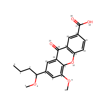 CCCC(OC)c1cc(OC)c2oc3ccc(C(=O)O)cc3c(=O)c2c1